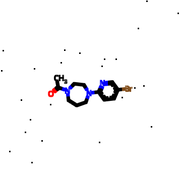 CC(=O)N1CCCN(c2ccc(Br)cn2)CC1